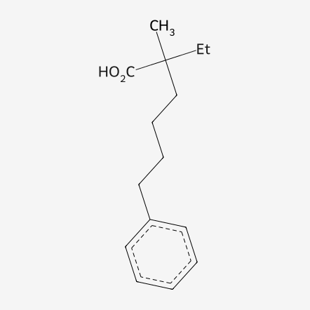 CCC(C)(CCCCc1ccccc1)C(=O)O